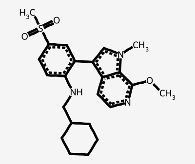 COc1nccc2c(-c3cc(S(C)(=O)=O)ccc3NCC3CCCCC3)cn(C)c12